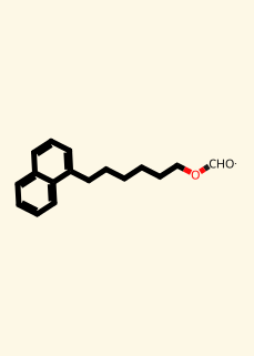 O=[C]OCCCCCCc1cccc2ccccc12